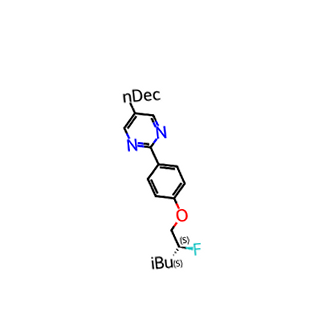 CCCCCCCCCCc1cnc(-c2ccc(OC[C@@H](F)[C@@H](C)CC)cc2)nc1